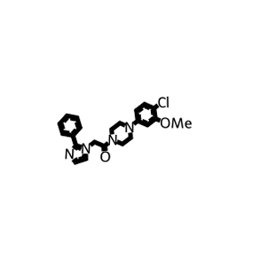 COc1cc(N2CCN(C(=O)Cn3ccnc3-c3ccccc3)CC2)ccc1Cl